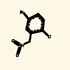 O=[SH](=O)Cc1cc(Br)ccc1Cl